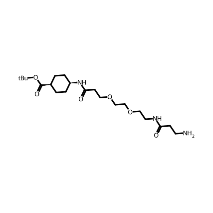 CC(C)(C)OC(=O)[C@H]1CC[C@@H](NC(=O)CCOCCOCCNC(=O)CCN)CC1